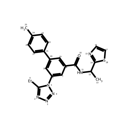 CCc1nnnn1-c1cc(C(=O)NC(C)c2nccs2)cc(-c2ccc(C)cc2)c1